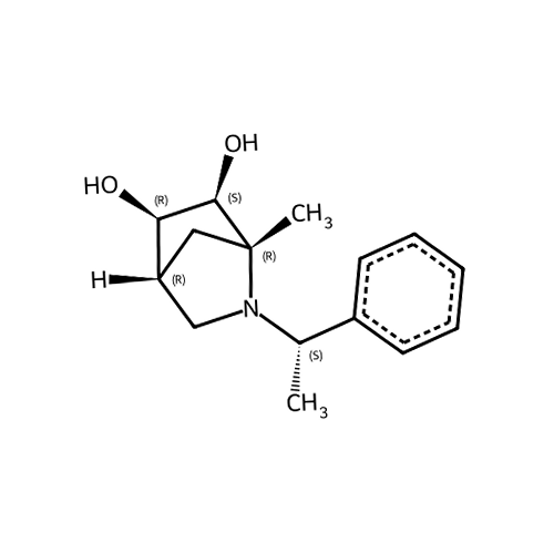 C[C@@H](c1ccccc1)N1C[C@H]2C[C@]1(C)[C@H](O)[C@@H]2O